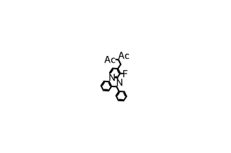 CC(=O)C(Cc1ccnc(N=C(c2ccccc2)c2ccccc2)c1F)C(C)=O